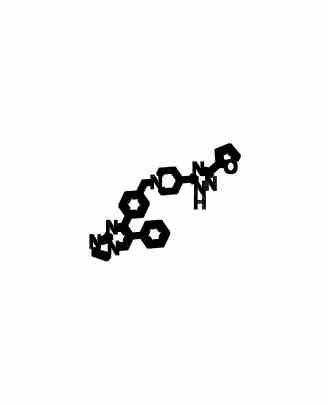 c1ccc(-c2cn3ccnc3nc2-c2ccc(CN3CCC(c4nc(-c5ccco5)n[nH]4)CC3)cc2)cc1